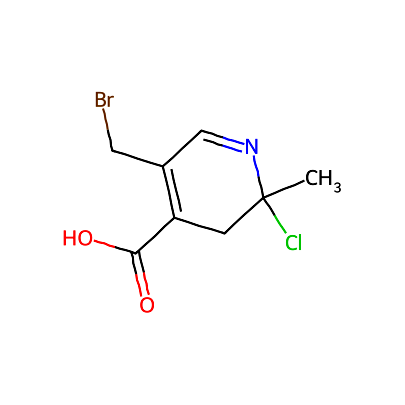 CC1(Cl)CC(C(=O)O)=C(CBr)C=N1